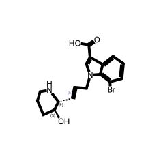 O=C(O)c1cn(C/C=C/[C@H]2NCCC[C@@H]2O)c2c(Br)cccc12